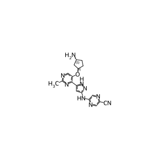 Cc1ncc(O[C@@H]2CC[C@H](N)C2)c(-c2cc(Nc3cnc(C#N)cn3)n[nH]2)n1